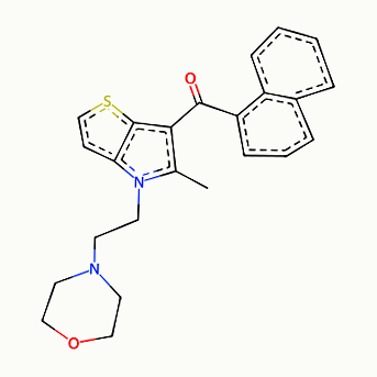 Cc1c(C(=O)c2cccc3ccccc23)c2sccc2n1CCN1CCOCC1